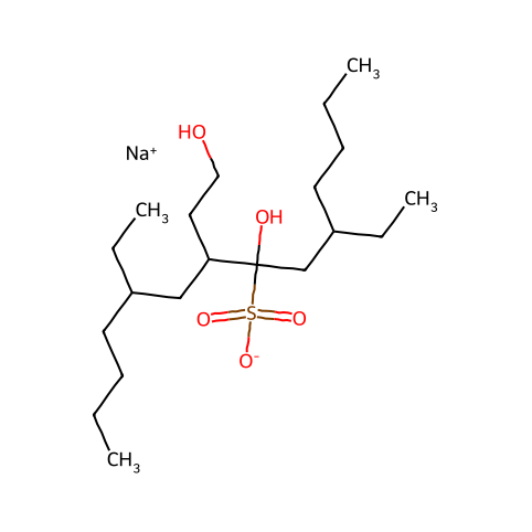 CCCCC(CC)CC(CCO)C(O)(CC(CC)CCCC)S(=O)(=O)[O-].[Na+]